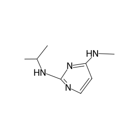 CNc1ccnc(NC(C)C)n1